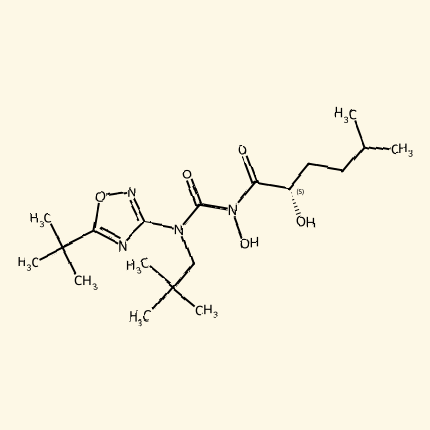 CC(C)CC[C@H](O)C(=O)N(O)C(=O)N(CC(C)(C)C)c1noc(C(C)(C)C)n1